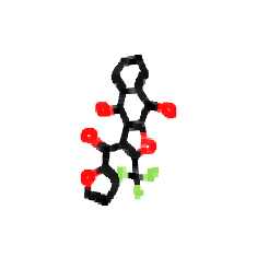 O=C1c2ccccc2C(=O)c2c1oc(C(F)(F)F)c2C(=O)c1ccco1